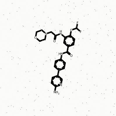 Nc1ccc(-c2ccc(NC(=O)c3ccc(OC(F)F)c(NC(=O)CN4CCOCC4)c3)cc2)cn1